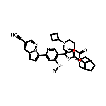 C#Cc1cnn2c(-c3cc(NC(C)C)c(-c4nnc(N5CC6CCC(C5)C6NC(=O)C5CCN(C6CCC6)CC5)s4)cn3)ccc2c1